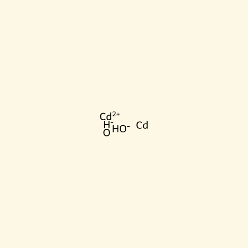 [Cd+2].[Cd].[OH-].[OH-]